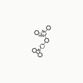 C1=C(c2cccc(C3=CC(c4ccccc4)=NC(c4ccccc4)N3)c2)CCC(n2c3ccccc3c3ccccc32)=C1